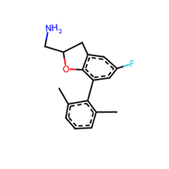 Cc1cccc(C)c1-c1cc(F)cc2c1OC(CN)C2